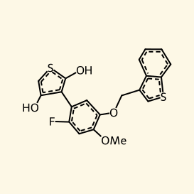 COc1cc(F)c(-c2c(O)csc2O)cc1OCc1csc2ccccc12